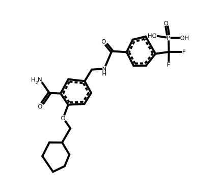 NC(=O)c1cc(CNC(=O)c2ccc(C(F)(F)P(=O)(O)O)cc2)ccc1OCC1CCCCC1